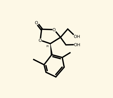 Cc1cccc(C)c1[C@H]1OC(=O)OC1(CO)CO